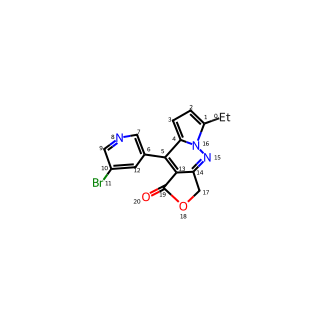 CCc1ccc2c(-c3cncc(Br)c3)c3c(nn12)COC3=O